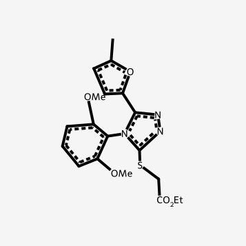 CCOC(=O)CSc1nnc(-c2ccc(C)o2)n1-c1c(OC)cccc1OC